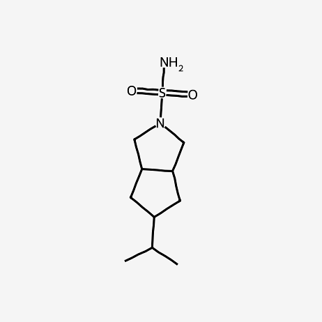 CC(C)C1CC2CN(S(N)(=O)=O)CC2C1